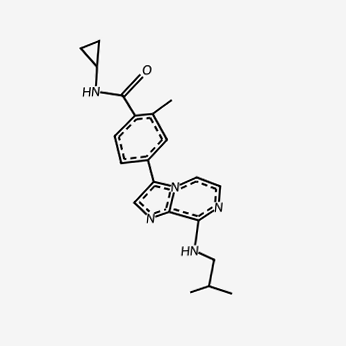 Cc1cc(-c2cnc3c(NCC(C)C)nccn23)ccc1C(=O)NC1CC1